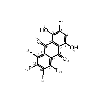 O=C1c2c(O)cc(F)c(O)c2C(=O)c2c(F)c(F)c(F)c(F)c21